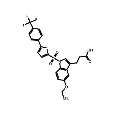 CCOc1ccc2c(c1)c(CCC(=O)O)cn2S(=O)(=O)c1ccc(-c2ccc(C(F)(F)F)cc2)s1